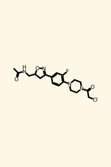 CC(=O)NCC1CC(c2ccc(N3CCN(C(=O)CCl)CC3)c(F)c2)=NO1